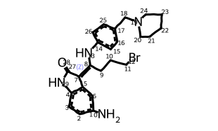 Nc1ccc2c(c1)/C(=C(\CCCBr)Nc1ccc(CN3CCCCC3)cc1)C(=O)N2